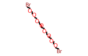 BrCCOCCOCCOCCOCCOCCOCCOCCOCCBr